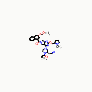 C=CC(=O)N1CCN(c2nc(OCC3CCCN3C)nc3c2CN(C(=O)c2cc(OCOC)cc4ccccc24)C3)CC1CC#N